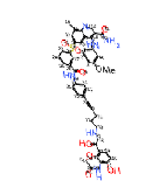 COc1cccc(Nc2c(C(N)=O)cnc3c(C)cc(S(=O)(=O)c4cccc(C(=O)Nc5ccc(C#CCCCNC[C@H](O)c6ccc(O)c7c6OCC(=O)N7)cc5)c4)cc23)c1